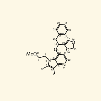 COCCn1c(C)c(C)c2nccc(OC(Cc3ccccc3)C3=COCO3)c21